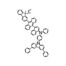 C=C=CC1(C)c2ccccc2-c2ccc(-c3c4ccccc4c(-c4ccc(N(c5ccccc5)c5ccc(-n6c7ccc(-c8ccccc8)cc7c7cc(-c8ccccc8)ccc76)cc5)c5ccccc45)c4ccccc34)cc21